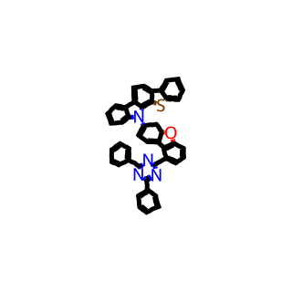 C1=C2c3c(cccc3-c3nc(-c4ccccc4)nc(-c4ccccc4)n3)OC2CC(n2c3ccccc3c3ccc4c5ccccc5sc4c32)=C1